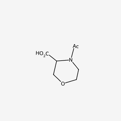 CC(=O)N1CCOCC1C(=O)O